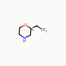 FC(F)(F)C[C@H]1CNCCO1